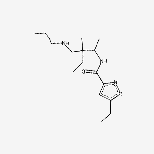 CCCNCC(C)(CC)C(C)NC(=O)c1cc(CC)on1